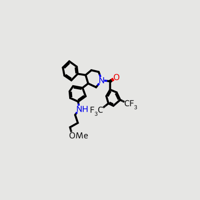 COCCCNc1cccc(C2CN(C(=O)c3cc(C(F)(F)F)cc(C(F)(F)F)c3)CCC2c2ccccc2)c1